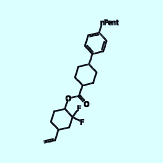 C=CC1CCC(OC(=O)C2CCC(c3ccc(CCCCC)cc3)CC2)C(F)(F)C1